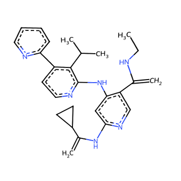 C=C(NCC)c1cnc(NC(=C)C2CC2)cc1Nc1nccc(-c2ccccn2)c1C(C)C